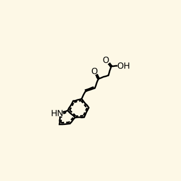 O=C(O)CC(=O)C=Cc1ccc2cc[nH]c2c1